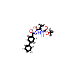 CC(C)[C@H](NC(=O)OC(C)(C)C)C(=O)NC(=O)c1ccc(-c2ccccc2)cc1